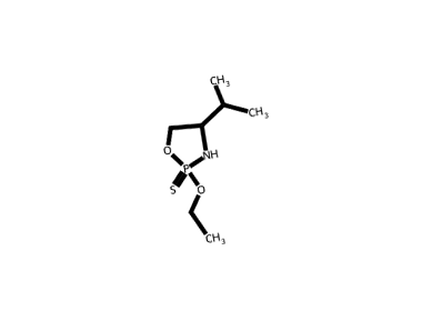 CCOP1(=S)NC(C(C)C)CO1